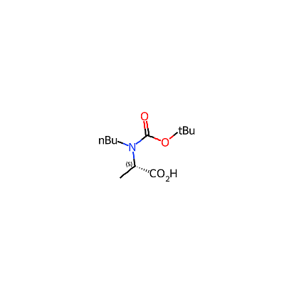 CCCCN(C(=O)OC(C)(C)C)[C@@H](C)C(=O)O